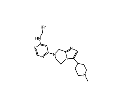 CC(C)CNc1cc(N2CCn3c(C4CCN(C)CC4)cnc3C2)ncn1